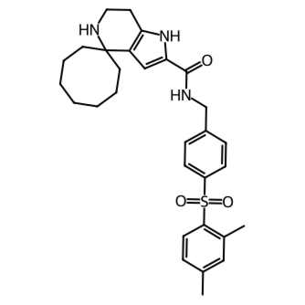 Cc1ccc(S(=O)(=O)c2ccc(CNC(=O)c3cc4c([nH]3)CCNC43CCCCCCC3)cc2)c(C)c1